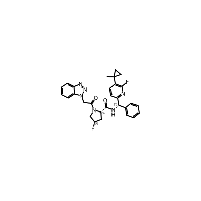 CC1(c2ccc([C@@H](NC(=O)[C@@H]3C[C@@H](F)CN3C(=O)Cn3nnc4ccccc43)c3ccccc3)nc2F)CC1